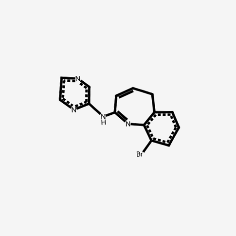 Brc1cccc2c1N=C(Nc1cnccn1)C=CC2